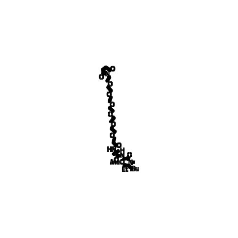 CCC(C)C(C(CC)OC)N(C)C(=O)CNC(=O)C(C)(C)NC(=O)CCOCCOCCOCCOCCOCCOCCN1C(=O)C=CC1=O